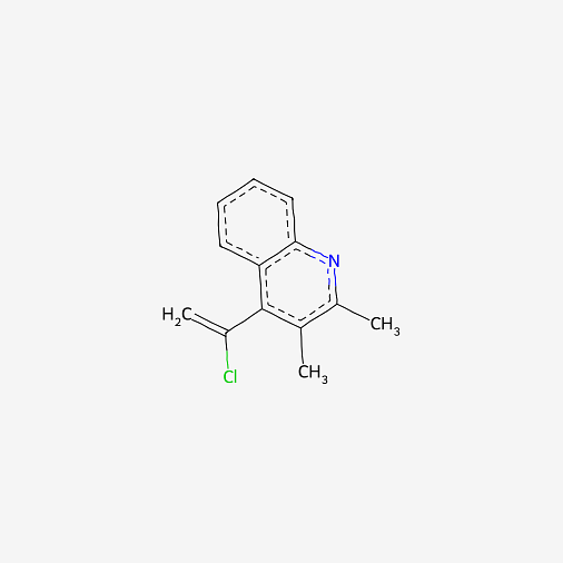 C=C(Cl)c1c(C)c(C)nc2ccccc12